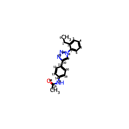 CCc1ccccc1-n1cc(-c2ccc(NC(C)=O)cc2)nn1